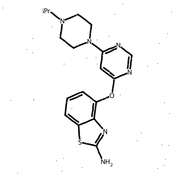 CC(C)N1CCN(c2cc(Oc3cccc4sc(N)nc34)ncn2)CC1